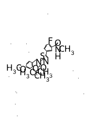 CNC(=O)c1cc(-c2cnc(N(Cc3ccc(OC)cc3)C(=O)OC(C)(C)C)s2)ccc1F